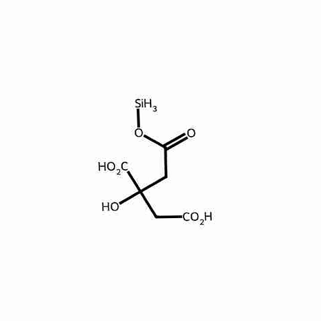 O=C(O)CC(O)(CC(=O)O[SiH3])C(=O)O